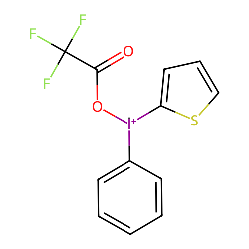 O=C(O[I+](c1ccccc1)c1cccs1)C(F)(F)F